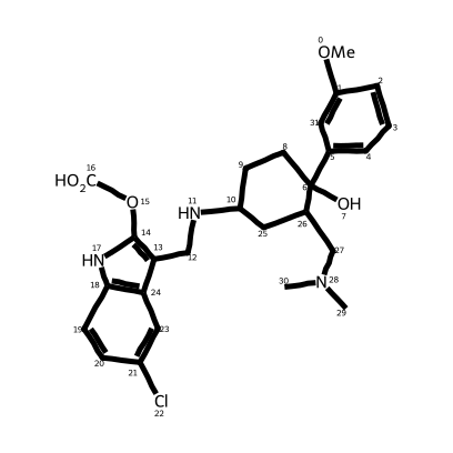 COc1cccc(C2(O)CCC(NCc3c(OC(=O)O)[nH]c4ccc(Cl)cc34)CC2CN(C)C)c1